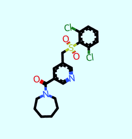 O=C(c1cncc(CS(=O)(=O)c2c(Cl)cccc2Cl)c1)N1CCCCCC1